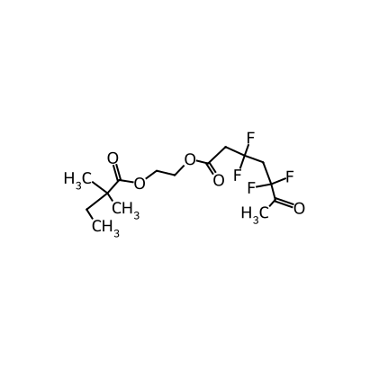 CCC(C)(C)C(=O)OCCOC(=O)CC(F)(F)CC(F)(F)C(C)=O